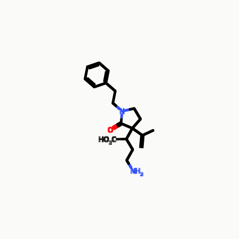 C=C(C)C1(C(CCN)C(=O)O)CCN(CCc2ccccc2)C1=O